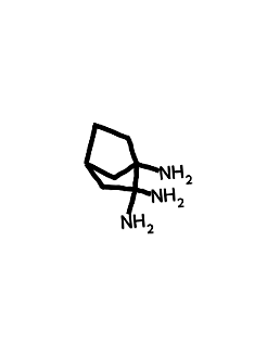 NC1(N)CC2CCC1(N)C2